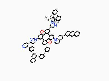 CC1(C)c2ccccc2-c2cccc(-c3ncc(-c4cc5oc6cc(N7C=NC(c8ccncc8-c8ccccc8)=CC7)cc7c8ccc(-c9cccc(-c%10cccc(-c%11cccc%12ccccc%11%12)c%10)c9)c9oc%10c(N%11C=CC=C%12C=C(c%13ccc%14cc%15ccccc%15cc%14c%13)C=CC%12%11)ccc(c(c4)c5c67)c%10c98)cn3)c21